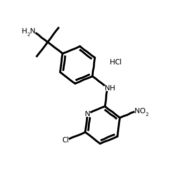 CC(C)(N)c1ccc(Nc2nc(Cl)ccc2[N+](=O)[O-])cc1.Cl